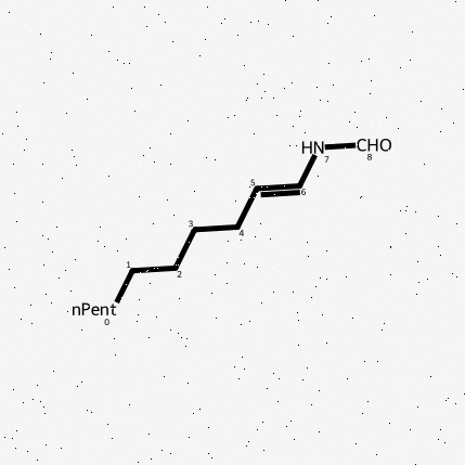 CCCCCCCCCC=CNC=O